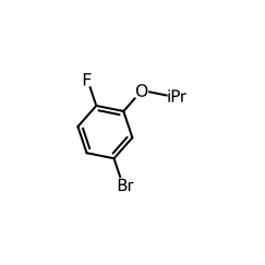 CC(C)Oc1cc(Br)ccc1F